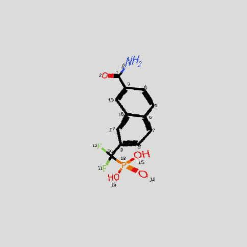 NC(=O)c1ccc2ccc(C(F)(F)P(=O)(O)O)cc2c1